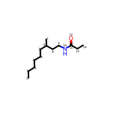 CCCCCCC(C)CCNC(=O)CC